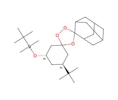 CC(C)(C)[C@H]1C[C@H](O[Si](C)(C)C(C)(C)C)CC2(C1)OOC1(O2)C2CC3CC(C2)CC1C3